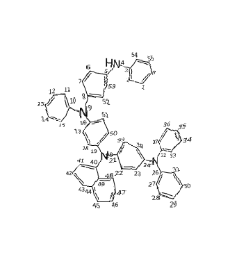 c1ccc(Nc2ccc(N(c3ccccc3)c3ccc(N(c4ccc(N(c5ccccc5)c5ccccc5)cc4)c4cccc5ccccc45)cc3)cc2)cc1